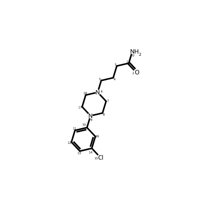 NC(=O)CCCN1CCN(c2cccc(Cl)c2)CC1